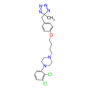 CC1(Cc2ccc(OCCCCN3CCN(c4cccc(Cl)c4Cl)CC3)cc2)N=NN=N1